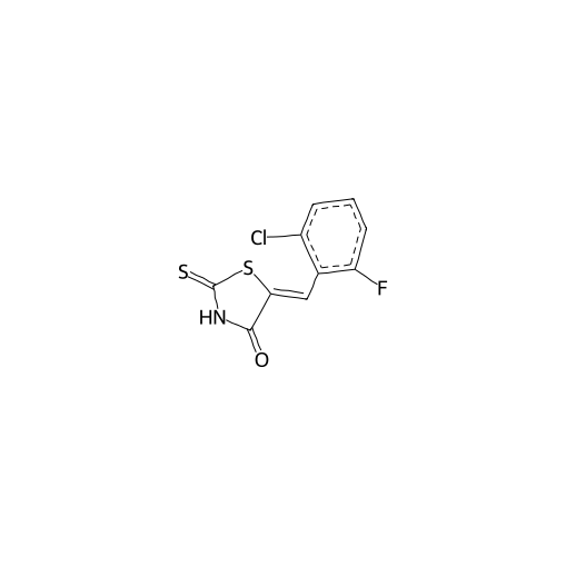 O=C1NC(=S)SC1=Cc1c(F)cccc1Cl